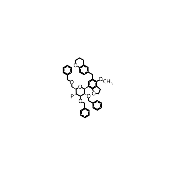 COc1c(Cc2ccc3c(c2)CCCO3)cc([C@@H]2O[C@H](COCc3ccccc3)[C@@H](F)[C@H](OCc3ccccc3)[C@H]2OCc2ccccc2)c2c1CCO2